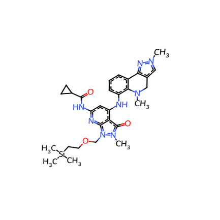 CN1Cc2cn(C)nc2-c2cccc(Nc3cc(NC(=O)C4CC4)nc4c3c(=O)n(C)n4COCC[Si](C)(C)C)c21